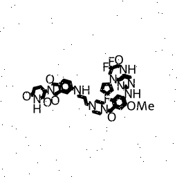 COc1cc(C(=O)N2CCN(CCCNc3ccc4c(c3)C(=O)N(C3CCC(=O)NC3=O)C4=O)CC2)c(F)cc1Nc1ncc2c(n1)N(C1CCCC1)CC(F)(F)C(=O)N2